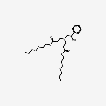 CCCSSCCOC(=O)CCN(CCC(=O)OCCSSCCC)CC(O)c1ccccc1